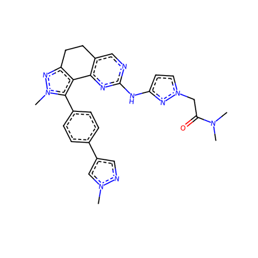 CN(C)C(=O)Cn1ccc(Nc2ncc3c(n2)-c2c(nn(C)c2-c2ccc(-c4cnn(C)c4)cc2)CC3)n1